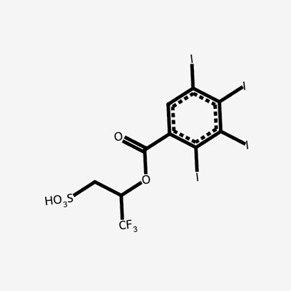 O=C(OC(CS(=O)(=O)O)C(F)(F)F)c1cc(I)c(I)c(I)c1I